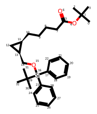 CC(C)(C)OC(=O)CCCC[C@@H]1C[C@@H]1CO[Si](c1ccccc1)(c1ccccc1)C(C)(C)C